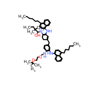 CCCCCCc1ccc(NC2=C(NC(O)C(C)(C)CC)CCC(Cc3ccc(NCOCCOC(C)(C)C)c(Nc4ccc(CCCCCC)c5ccccc45)c3)=C2)c2ccccc12